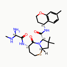 CN[C@@H](N)C(=O)N[C@H]1CCS[C@H]2CC(C)(C)[C@@H](C(=O)N[C@@H]3CCOc4cc(C)ccc43)N2C1=O